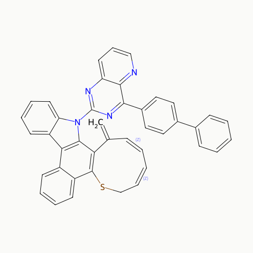 C=C1/C=C\C=C/CSc2c1c1c(c3ccccc23)c2ccccc2n1-c1nc(-c2ccc(-c3ccccc3)cc2)c2ncccc2n1